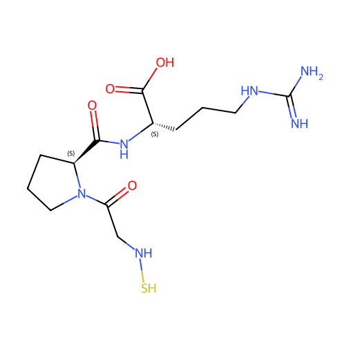 N=C(N)NCCC[C@H](NC(=O)[C@@H]1CCCN1C(=O)CNS)C(=O)O